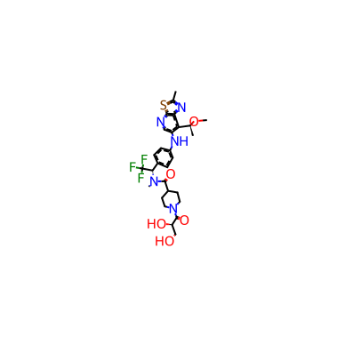 CO[C@@H](C)c1c(Nc2ccc([C@H](N(C)C(=O)C3CCN(C(=O)[C@H](O)CO)CC3)C(F)(F)F)cc2)cnc2sc(C)nc12